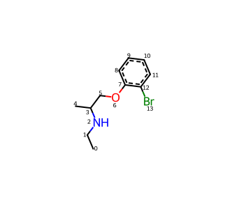 CCNC(C)COc1ccccc1Br